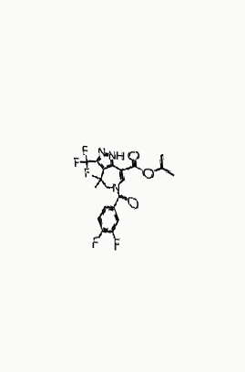 CC(C)OC(=O)C1=CN(C(=O)c2ccc(F)c(F)c2)CC(C)(C)c2c(C(F)(F)F)n[nH]c21